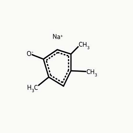 Cc1cc(C)c([O-])cc1C.[Na+]